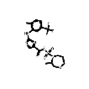 Cc1ccc(C(F)(F)F)cc1Nc1nc(C(=O)NS(=O)(=O)N2CCCOCC2C)co1